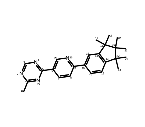 Cc1ncnc(-c2ccc(-c3ccc4c(c3)C(C)(C)C(C)(C)C4(C)C)nc2)n1